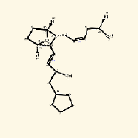 CC[C@@H](O)C/C=C\C[C@@H]1C(/C=C/C(O)CC2CCCC2)[C@@H]2CC[C@H]1O2